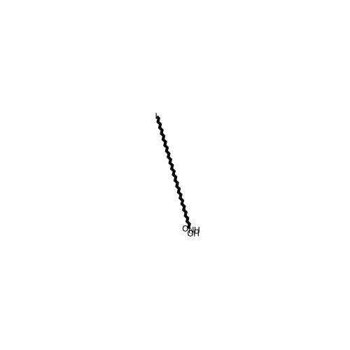 O=C(CCCCCCCCCCCCCCCCCCCCCCCCCCCCCCCCCCCCCI)NO